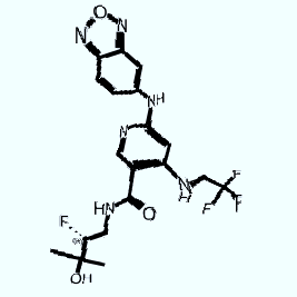 CC(C)(O)[C@H](F)CNC(=O)c1cnc(Nc2ccc3nonc3c2)cc1NCC(F)(F)F